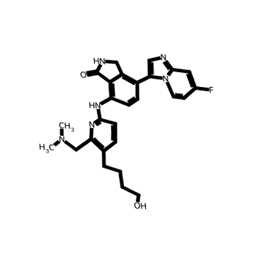 CN(C)Cc1nc(Nc2ccc(-c3cnc4cc(F)ccn34)c3c2C(=O)NC3)ccc1CCCCO